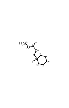 CC(O[SiH3])OCC1(C)CCCCC1